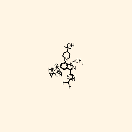 CC(C)(O)C1CCN(c2cc(S(=O)(=O)NC3(C#N)CC3)cc3c(-c4nnc(C(F)F)s4)nn(CC(F)(F)F)c23)CC1